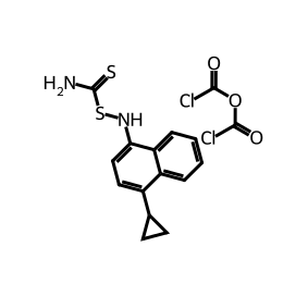 NC(=S)SNc1ccc(C2CC2)c2ccccc12.O=C(Cl)OC(=O)Cl